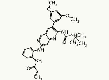 C=CC(=O)Nc1ccccc1Nc1cc2nc(NC(=O)NC(C)(C)C)c(-c3cc(OC)cc(OC)c3)cc2cn1